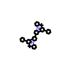 CC1(C)c2ccccc2-n2c3ccc(-c4ccc5c(c4)c4cc(-c6ccccc6)cc6c4n5-c4ccccc4C6(C)C)cc3c3cc(-c4ccccc4)cc1c32